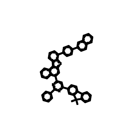 CC1(C)c2ccccc2-c2ccc(-c3cc(-c4cc5sc6c(-c7ccc(-c8ccc9ccccc9c8)cc7)cccc6c5c5ccccc45)nc(-c4ccccc4)n3)cc21